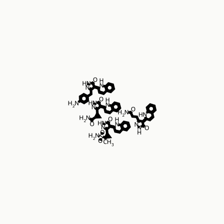 CC1(S(N)(=O)=O)CC1C1=NNC(=O)C1=C1C=Cc2ccccc2N1.NC(=O)C1CC1C1=NNC(=O)C1=C1C=Cc2ccccc2N1.NC(=O)CCC1=NNC(=O)C1=C1C=Cc2ccccc2N1.Nc1ccc(CC2=NNC(=O)C2=C2C=Cc3ccccc3N2)cc1